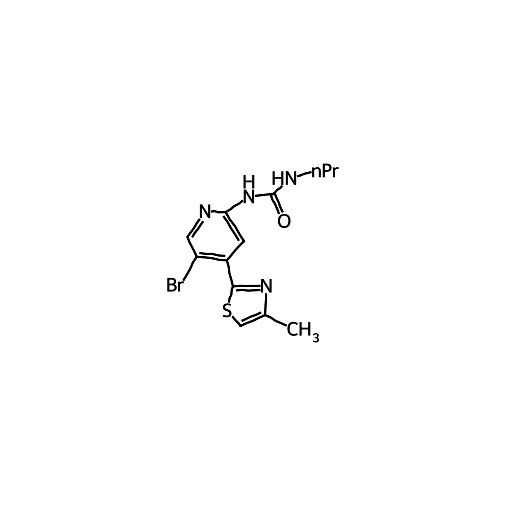 CCCNC(=O)Nc1cc(-c2nc(C)cs2)c(Br)cn1